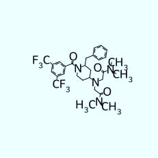 CN(C)C(=O)CN(CC(=O)N(C)C)C1CCN(C(=O)c2cc(C(F)(F)F)cc(C(F)(F)F)c2)C(Cc2ccccc2)C1